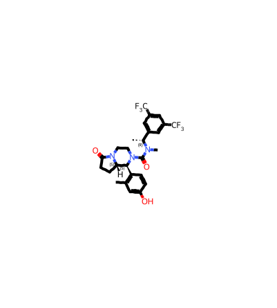 Cc1cc(O)ccc1[C@H]1[C@@H]2CCC(=O)N2CCN1C(=O)N(C)[C@H](C)c1cc(C(F)(F)F)cc(C(F)(F)F)c1